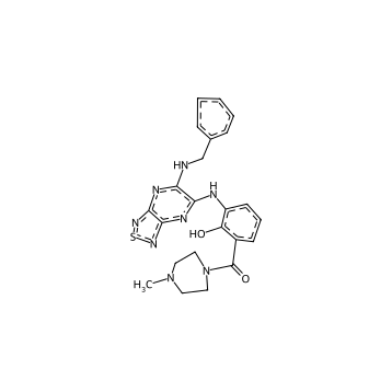 CN1CCN(C(=O)c2cccc(Nc3nc4nsnc4nc3NCc3ccccc3)c2O)CC1